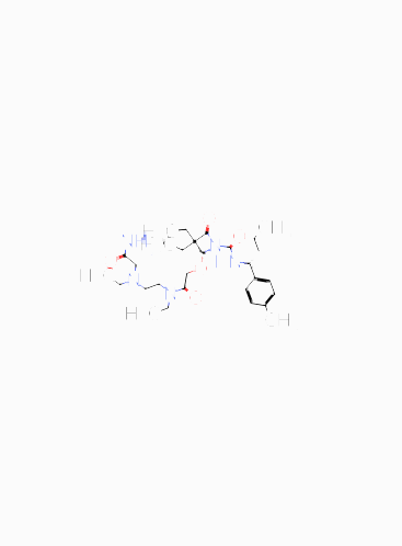 CCC[C@@H](NC(=O)N1C(=O)C(CC)(CC)[C@@H]1OCC(=O)N(CC)CCN(CC)CC(N)=O)c1ccc(C)cc1